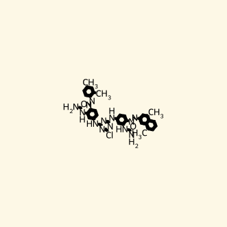 Cc1ccc(/N=N/c2ccc(Nc3nc(Cl)nc(Nc4ccc(N=Nc5cc(C)c6cccc(C)c6c5)c(NC(N)=O)c4)n3)cc2NC(N)=O)c(C)c1